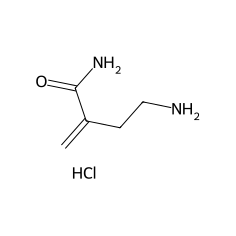 C=C(CCN)C(N)=O.Cl